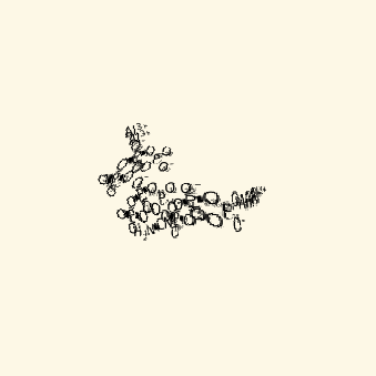 N#CN.O=P([O-])([O-])OP(=O)([O-])OP(=O)([O-])[O-].O=P([O-])([O-])OP(=O)([O-])OP(=O)([O-])[O-].O=P([O-])([O-])OP(=O)([O-])OP(=O)([O-])[O-].[Al+3].[Al+3].[Al+3].[Al+3].[Al+3]